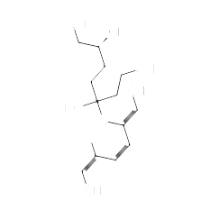 C/C=C(/C=C\C(F)=C/C)SC(C)(CCC)CC[C@H](C)CC